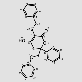 O=C1OC(COc2ccccc2)(c2ccccc2)CC(O)=C1SCc1ccccc1